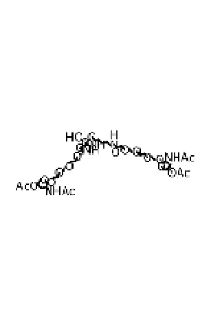 CC(=O)NC1C[C@@H](OC(C)=O)CO[C@H]1OCCOCCOCCOCC(=O)NCCCCC(NC(=O)NC(=O)COCCOCCOCCO[C@@H]1OC[C@H](OC(C)=O)CC1NC(C)=O)C(=O)O